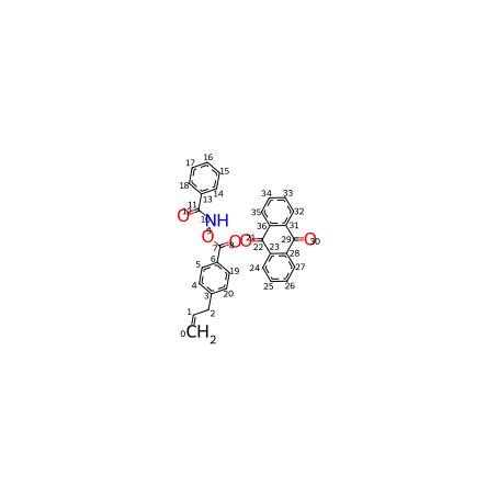 C=CCc1ccc(C(=O)ONC(=O)c2ccccc2)cc1.O=C1c2ccccc2C(=O)c2ccccc21